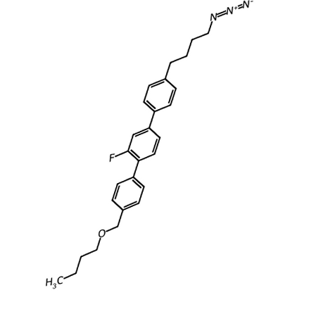 CCCCOCc1ccc(-c2ccc(-c3ccc(CCCCN=[N+]=[N-])cc3)cc2F)cc1